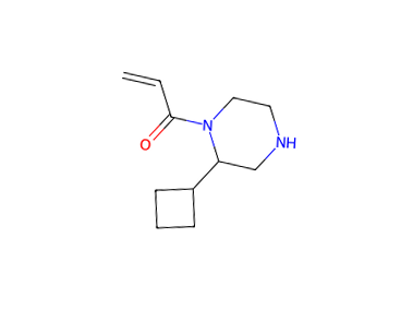 C=CC(=O)N1CCNCC1C1CCC1